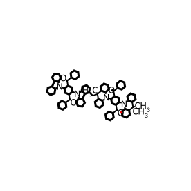 CC1(C)c2ccccc2N(c2cc(C(=O)c3ccccc3)c(N3c4ccccc4C(C)(Cc4cccc5c4c4ccccc4n5-c4cc(C(=O)c5ccccc5)c(-n5c6ccccc6c6ccccc65)cc4C(=O)c4ccccc4)c4ccccc43)cc2C(=O)c2ccccc2)c2ccccc21